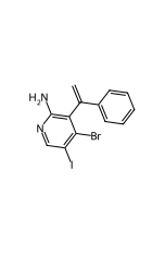 C=C(c1ccccc1)c1c(N)ncc(I)c1Br